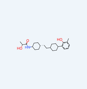 Cc1cccc(C2CCC(CC[C@H]3CC[C@H](NC(=O)C(C)O)CC3)CC2)c1O